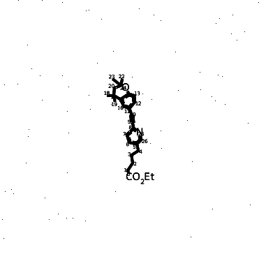 CCOC(=O)CCCCc1ccc(C#Cc2ccc3c(c2)C(C)(C)CC(C)(C)O3)nc1